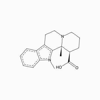 Cn1c2c(c3ccccc31)CCN1CCC[C@@H](C(=O)O)[C@]21C